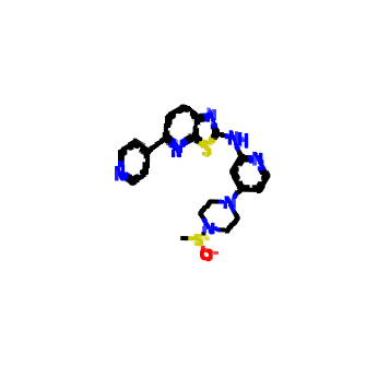 C[S+]([O-])N1CCN(c2ccnc(Nc3nc4ccc(-c5ccncc5)nc4s3)c2)CC1